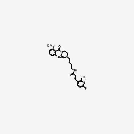 COc1cccc(OC)c1C(=O)N1CCC(CCCCNC(=O)/C=C/c2ccc(F)nc2C)CC1